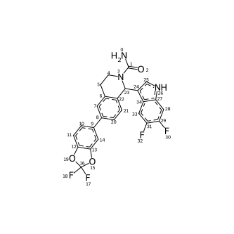 NC(=O)N1CCc2cc(-c3ccc4c(c3)OC(F)(F)O4)ccc2C1c1c[nH]c2cc(F)c(F)cc12